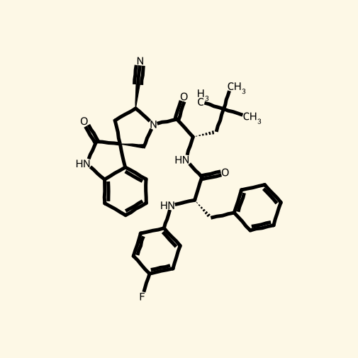 CC(C)(C)C[C@H](NC(=O)[C@H](Cc1ccccc1)Nc1ccc(F)cc1)C(=O)N1C[C@]2(C[C@H]1C#N)C(=O)Nc1ccccc12